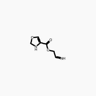 N=CCOC(=O)C1=COCN1